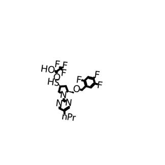 CCCc1cnc(N2C[C@H](S)C[C@H]2COCc2cc(F)c(F)cc2F)nc1.O=C(O)C(F)(F)F